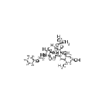 Cc1cc(O)cc(C)c1CC(NC(=O)OC(C)(C)C)C(=O)N[C@H](C)C(=O)NCCOc1ccccc1